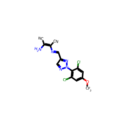 N#C/C(N)=C(C#N)/N=C/c1cnn(-c2c(Cl)cc(OC(F)(F)F)cc2Cl)n1